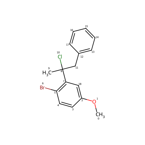 COc1ccc(Br)c(C(C)(Cl)Cc2ccccc2)c1